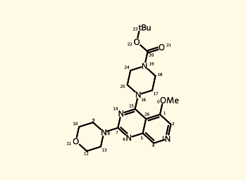 COc1cncc2nc(N3CCOCC3)nc(N3CCN(C(=O)OC(C)(C)C)CC3)c12